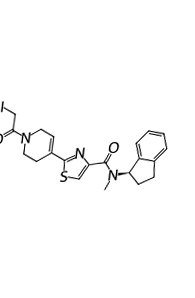 CN(C(=O)c1csc(C2=CCN(C(=O)CI)CC2)n1)[C@@H]1CCc2ccccc21